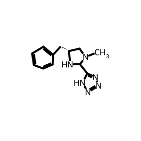 CN1C[C@@H](Cc2ccccc2)NC1c1nnn[nH]1